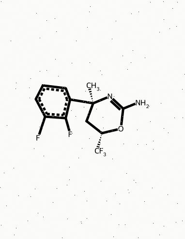 C[C@@]1(c2cccc(F)c2F)C[C@@H](C(F)(F)F)OC(N)=N1